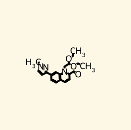 CCOC(CN1c2cc(-c3ccn(C)n3)ccc2C=CC1C=O)OCC